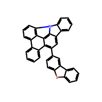 c1ccc2c(c1)sc1ccc(-c3cc4c5ccccc5n5c6cccc7c8ccccc8c3c(c76)c45)cc12